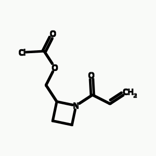 C=CC(=O)N1CCC1COC(=O)Cl